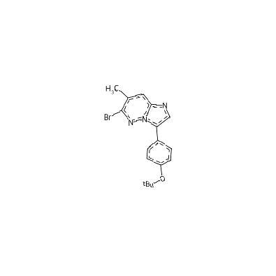 Cc1cc2ncc(-c3ccc(OC(C)(C)C)cc3)n2nc1Br